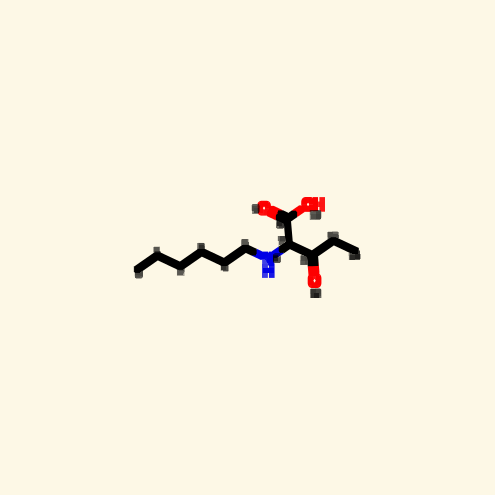 CCCCCCNC(C(=O)O)C(=O)CC